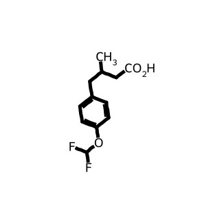 CC(CC(=O)O)Cc1ccc(OC(F)F)cc1